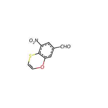 O=Cc1cc2c(c([N+](=O)[O-])c1)SC=CO2